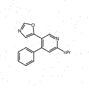 CCCc1cc(-c2ccccc2)c(-c2cnco2)[c]n1